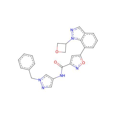 O=C(Nc1cnn(Cc2ccccc2)c1)c1cc(-c2cccc3cnn(C4COC4)c23)on1